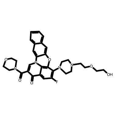 O=C(c1cn2c3c(c(N4CCN(CCOCCO)CC4)c(F)cc3c1=O)Oc1cc3ccccc3cc1-2)N1CCOCC1